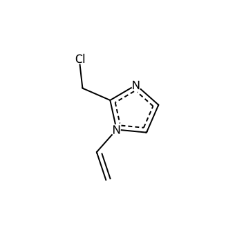 C=Cn1ccnc1CCl